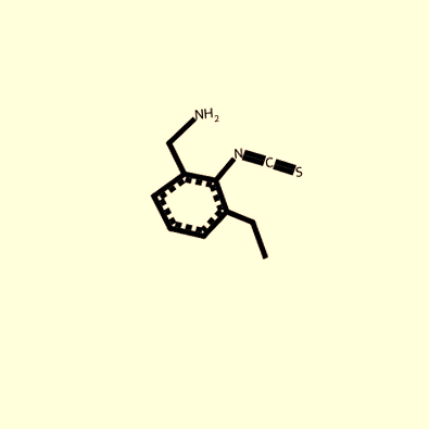 CCc1cccc(CN)c1N=C=S